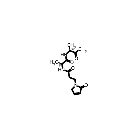 CC(=O)[C@H](C)NC(=O)[C@H](C)NC(=O)CCN1CC=CC1=O